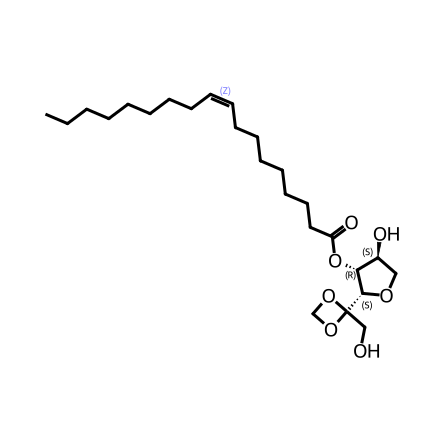 CCCCCCCC/C=C\CCCCCCCC(=O)O[C@@H]1[C@@H](O)CO[C@@H]1C1(CO)OCO1